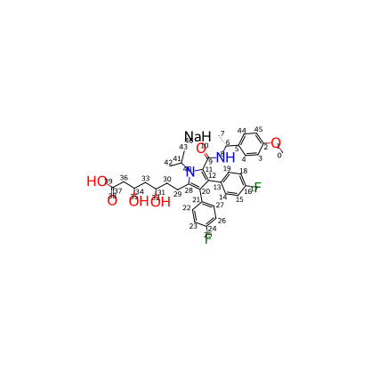 COc1ccc([C@@H](C)NC(=O)c2c(-c3ccc(F)cc3)c(-c3ccc(F)cc3)c(CC[C@@H](O)C[C@@H](O)CC(=O)O)n2C(C)C)cc1.[NaH]